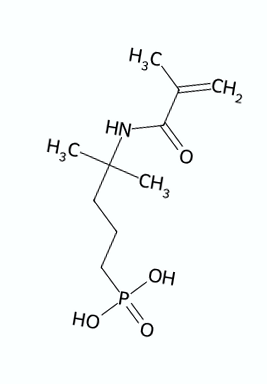 C=C(C)C(=O)NC(C)(C)CCCP(=O)(O)O